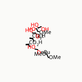 C=C(C)C(=O)O.C=C(C)C(=O)O.CCCCOCCO.CCOCCO.COCCO.COCCOC.OCCO